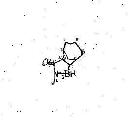 CN1BC2C3CCCC(C3)C2C1=O